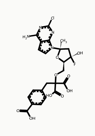 C[C@]1(n2ccc3c(N)nc(Cl)nc32)C[C@@](O)(F)[C@@H](COC(Cc2ccc(C(=O)O)cc2)(C(=O)O)C(=O)O)O1